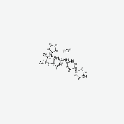 CC(=O)c1cc2cnc(Nc3ccc(N4CCNCC4)cn3)nc2n(C2CCCC2)c1=O.Cl